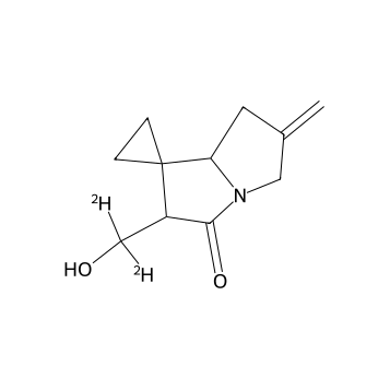 [2H]C([2H])(O)C1C(=O)N2CC(=C)CC2C12CC2